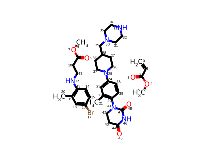 C=CC(=O)OC.COC(=O)CCNc1ccc(Br)cc1C.Cc1cc(N2CCC(CN3CCNCC3)CC2)ccc1N1CCC(=O)NC1=O